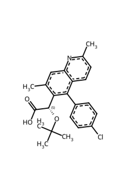 Cc1ccc2c(-c3ccc(Cl)cc3)c([C@H](OC(C)(C)C)C(=O)O)c(C)cc2n1